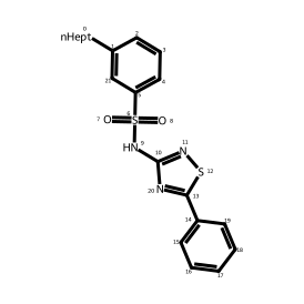 CCCCCCCc1cccc(S(=O)(=O)Nc2nsc(-c3ccccc3)n2)c1